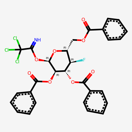 N=C(O[C@H]1O[C@H](COC(=O)c2ccccc2)[C@@H](F)[C@H](OC(=O)c2ccccc2)[C@H]1OC(=O)c1ccccc1)C(Cl)(Cl)Cl